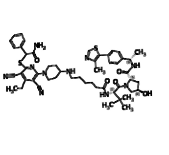 CCc1c(C#N)c(SC(C(N)=O)c2ccccc2)nc(N2CCC(NCCCCCC(=O)N[C@H](C(=O)N3C[C@H](O)C[C@H]3C(=O)N[C@@H](C)c3ccc(-c4scnc4C)cc3)C(C)(C)C)CC2)c1C#N